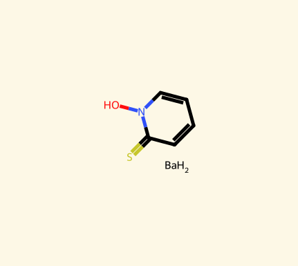 On1ccccc1=S.[BaH2]